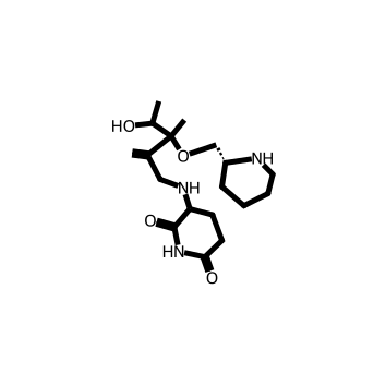 C=C(CNC1CCC(=O)NC1=O)C(C)(OC[C@H]1CCCCN1)C(C)O